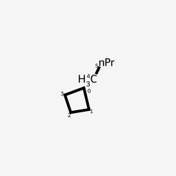 C1CCC1.CCCC